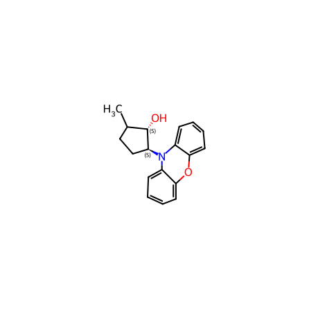 CC1CC[C@H](N2c3ccccc3Oc3ccccc32)[C@H]1O